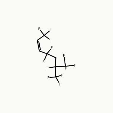 FC(F)(F)/C=C\C(F)(F)CC(F)(C(F)(F)F)C(F)(F)F